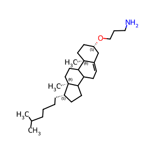 CC(C)CCCC[C@H]1CCC2C3CC=C4C[C@@H](OCCCN)CC[C@]4(C)C3CC[C@@]21C